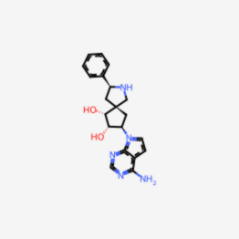 Nc1ncnc2c1ccn2[C@@H]1C[C@@]2(CN[C@H](c3ccccc3)C2)[C@@H](O)[C@H]1O